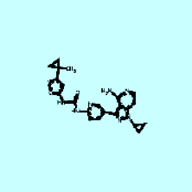 CC1(c2cc(NC(=O)Nc3ccc(-c4nn(C5CC5)c5ccnc(N)c45)cn3)on2)CC1